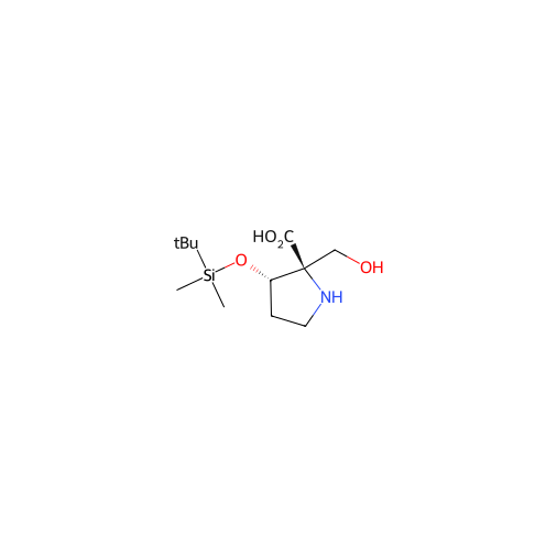 CC(C)(C)[Si](C)(C)O[C@H]1CCN[C@]1(CO)C(=O)O